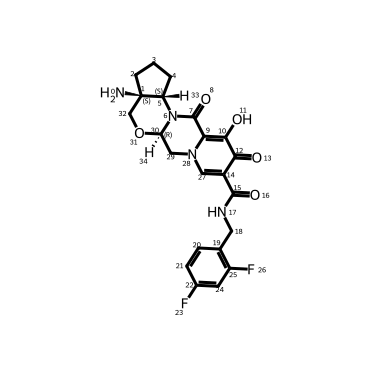 N[C@@]12CCC[C@@H]1N1C(=O)c3c(O)c(=O)c(C(=O)NCc4ccc(F)cc4F)cn3C[C@H]1OC2